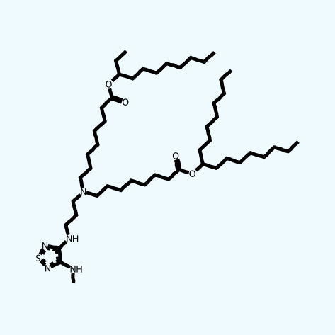 CCCCCCCCC(CC)OC(=O)CCCCCCCN(CCCCCCCC(=O)OC(CCCCCCCC)CCCCCCCC)CCCNc1nsnc1NC